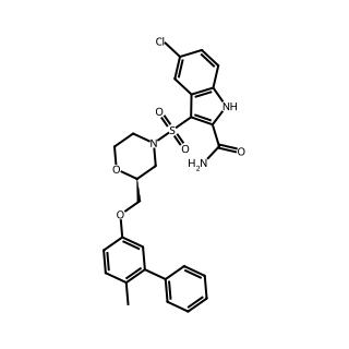 Cc1ccc(OC[C@@H]2CN(S(=O)(=O)c3c(C(N)=O)[nH]c4ccc(Cl)cc34)CCO2)cc1-c1ccccc1